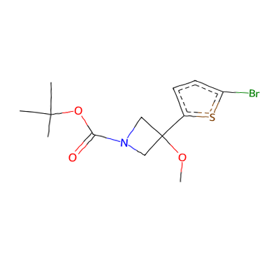 COC1(c2ccc(Br)s2)CN(C(=O)OC(C)(C)C)C1